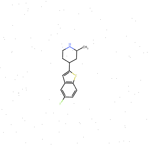 CC1CC(c2cc3cc(F)ccc3s2)CCN1